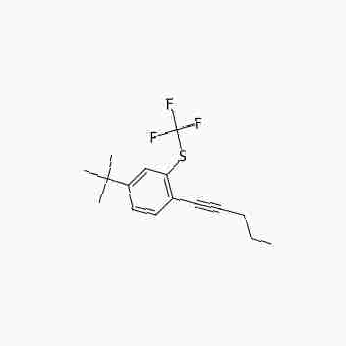 CCCC#Cc1ccc(C(C)(C)C)cc1SC(F)(F)F